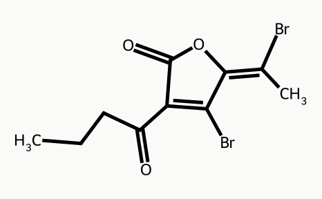 CCCC(=O)C1=C(Br)/C(=C(\C)Br)OC1=O